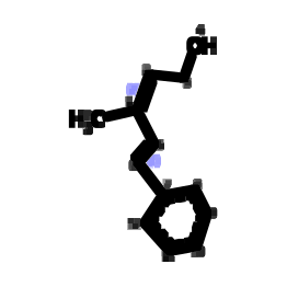 CC(=C/CO)/C=C/c1ccccc1